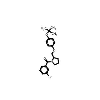 CC(C)(C)Oc1ccc(OCC2CCCN2C(=O)c2cccc(Br)c2)cc1